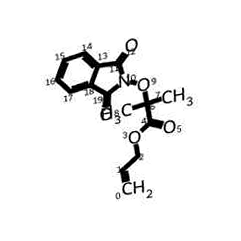 C=CCOC(=O)C(C)(C)ON1C(=O)c2ccccc2C1=O